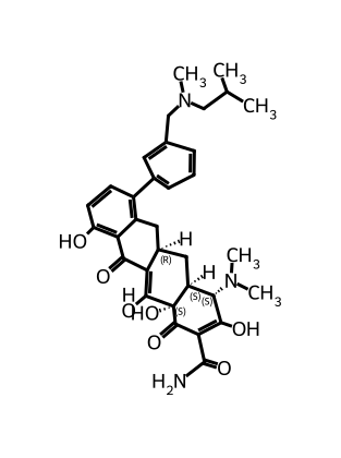 CC(C)CN(C)Cc1cccc(-c2ccc(O)c3c2C[C@H]2C[C@H]4[C@H](N(C)C)C(O)=C(C(N)=O)C(=O)[C@@]4(O)C(O)=C2C3=O)c1